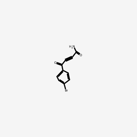 NC(=O)C#CC(=O)c1ccc(Br)cc1